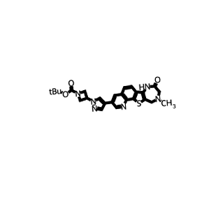 CN1CC(=O)Nc2c(sc3c2ccc2cc(-c4cnn(C5CN(C(=O)OC(C)(C)C)C5)c4)cnc23)C1